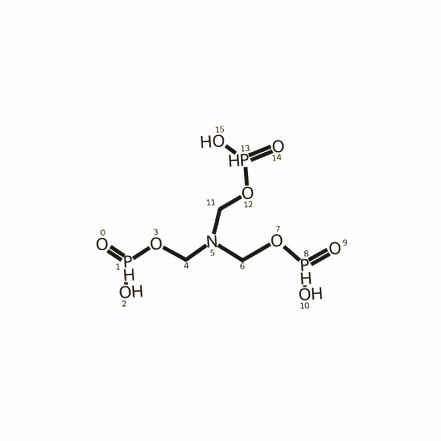 O=[PH](O)OCN(CO[PH](=O)O)CO[PH](=O)O